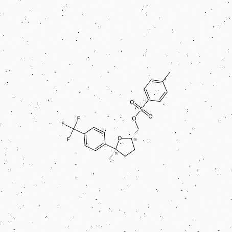 Cc1ccc(S(=O)(=O)OC[C@@H]2CC[C@@](C)(c3ccc(C(F)(F)F)cc3)O2)cc1